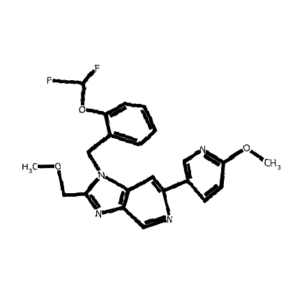 COCc1nc2cnc(-c3ccc(OC)nc3)cc2n1Cc1ccccc1OC(F)F